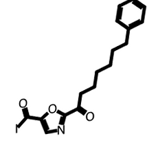 O=C(I)c1cnc(C(=O)CCCCCCc2ccccc2)o1